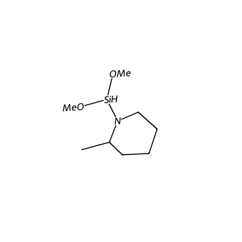 CO[SiH](OC)N1CCCCC1C